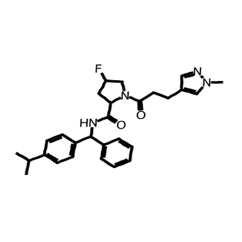 CC(C)c1ccc(C(NC(=O)C2CC(F)CN2C(=O)CCc2cnn(C)c2)c2ccccc2)cc1